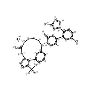 [2H]C([2H])([2H])n1ncc2c1-c1cccc(c1)[C@@H](n1cnc(-c3cc(Cl)ccc3-n3cc(Br)nn3)cc1=O)CCC[C@@H](C)C(=O)N2